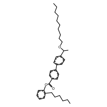 CCCCCCCCCCOC(C)c1ccc(-c2ccc(C(=O)Oc3ccccc3CCCCCC)cc2)cc1